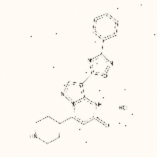 Cl.O=c1cc(C2CCNCC2)n2ncc(-c3nc(-c4ccccc4)no3)c2[nH]1